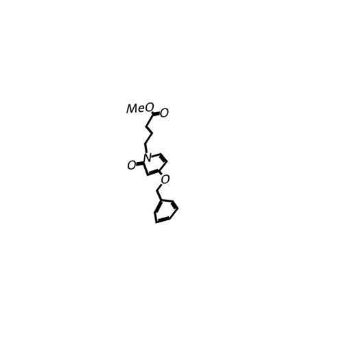 COC(=O)CCCn1ccc(OCc2ccccc2)cc1=O